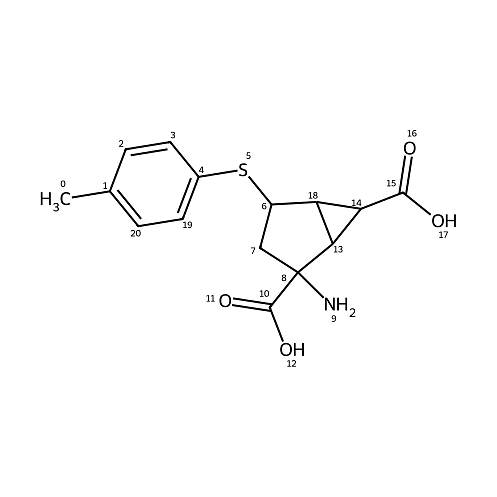 Cc1ccc(SC2CC(N)(C(=O)O)C3C(C(=O)O)C23)cc1